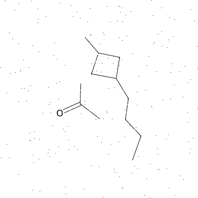 CC(C)=O.CCCCC1CC(C)C1